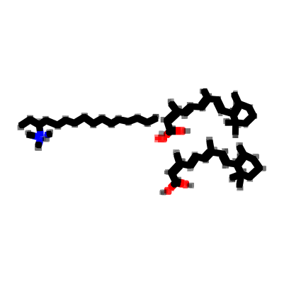 CC(C=CC1=C(C)CCCC1(C)C)=CC=C/C(C)=C\C(=O)O.CC(C=CC1=C(C)CCCC1(C)C)=CC=C/C(C)=C\C(=O)[O-].CCCCCCCCCCCCCC(CC)[N+](C)(C)C